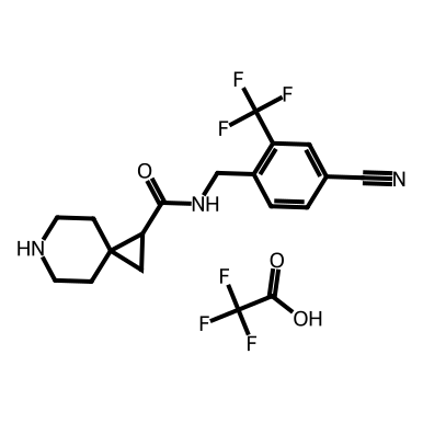 N#Cc1ccc(CNC(=O)C2CC23CCNCC3)c(C(F)(F)F)c1.O=C(O)C(F)(F)F